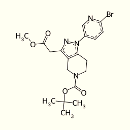 COC(=O)Cc1nn(-c2ccc(Br)nc2)c2c1CN(C(=O)OC(C)(C)C)CC2